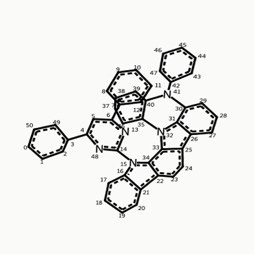 c1ccc(-c2cc(-c3ccccc3)nc(-n3c4ccccc4c4ccc5c6cccc7c6n(c5c43)-c3ccccc3N7c3ccccc3)n2)cc1